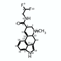 CN1CC(C(=O)NCC(F)F)C=C2c3cccc4[nH]cc(c34)CC21